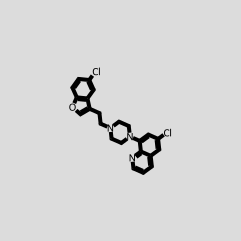 Clc1cc(N2CCN(CCc3coc4ccc(Cl)cc34)CC2)c2ncccc2c1